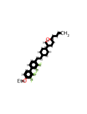 C=CCCC1CCC(C2CCC(CCc3ccc(-c4ccc(OCC)c(F)c4F)c(F)c3F)CC2)CO1